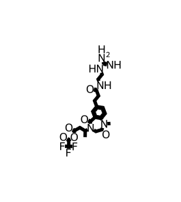 CC(CC(=O)OC(=O)C(F)(F)F)N1CC(=O)N(C)c2ccc(CCC(=O)NCCNC(=N)N)cc2C1=O